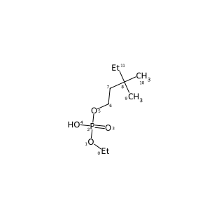 CCOP(=O)(O)OCCC(C)(C)CC